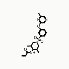 C=CC(=O)NC1C(C)CN(S(=O)(=O)c2cccc(Oc3cncc(C)n3)c2)CC1C